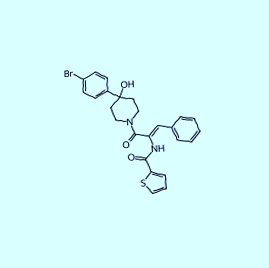 O=C(N/C(=C\c1ccccc1)C(=O)N1CCC(O)(c2ccc(Br)cc2)CC1)c1cccs1